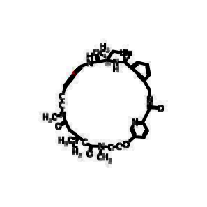 CN1CCOc2ccc(nc2)C(=O)NCc2cccc(c2)C(=O)N[C@](C)(CC(C)(C)C)C(=O)Nc2ccc(cc2)CCN(C)C(=O)CC(C)(C)CC1=O